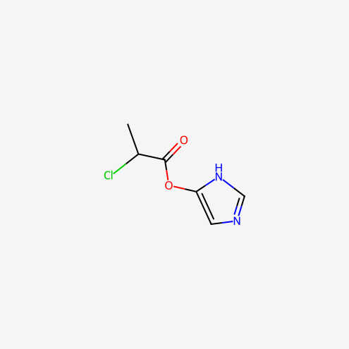 CC(Cl)C(=O)Oc1cnc[nH]1